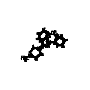 CN1CCN(c2nn(-c3ccccc3Cl)c3ccccc23)CC1